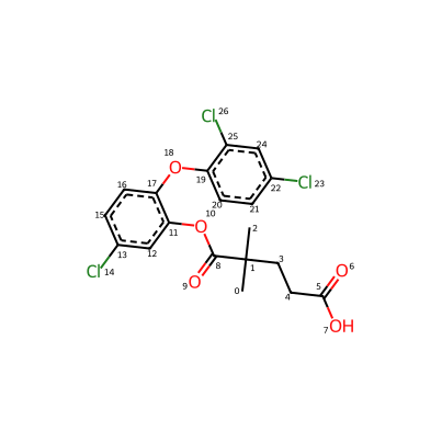 CC(C)(CCC(=O)O)C(=O)Oc1cc(Cl)ccc1Oc1ccc(Cl)cc1Cl